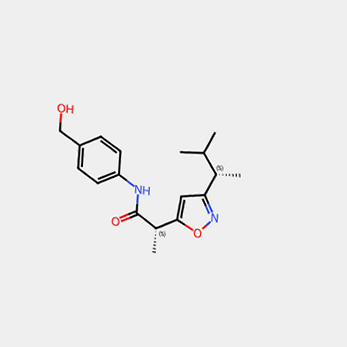 CC(C)[C@H](C)c1cc([C@H](C)C(=O)Nc2ccc(CO)cc2)on1